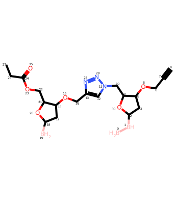 BBC1CC(OCC#C)C(Cn2cc(COC3CC(B)OC3COC(=O)CC)nn2)O1